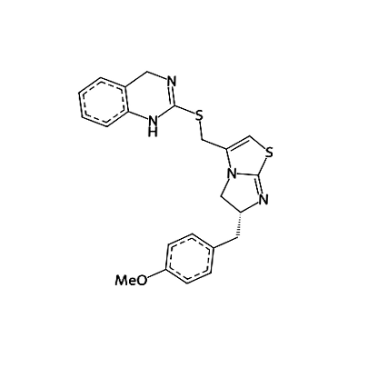 COc1ccc(C[C@@H]2CN3C(CSC4=NCc5ccccc5N4)=CSC3=N2)cc1